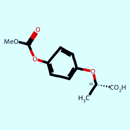 COC(=O)Oc1ccc(O[C@@H](C)C(=O)O)cc1